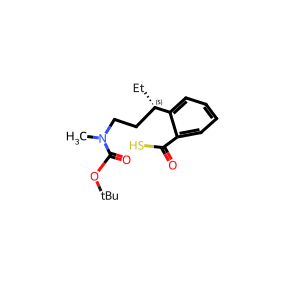 CC[C@@H](CCN(C)C(=O)OC(C)(C)C)c1ccccc1C(=O)S